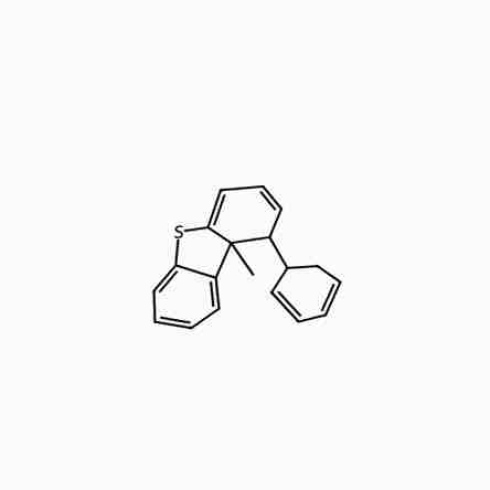 CC12C(=CC=CC1C1C=CC=CC1)Sc1ccccc12